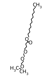 CCCCCCCCCCCCCCOC(=O)CCCOCCOCCOC(C)C